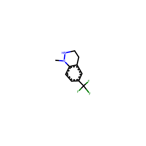 CN1NCCc2cc(C(F)(F)F)ccc21